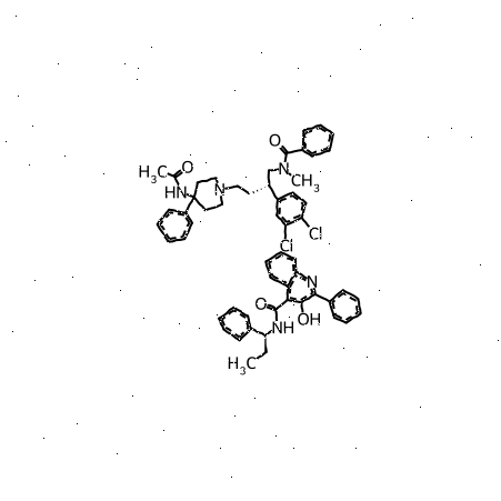 CC(=O)NC1(c2ccccc2)CCN(CC[C@H](CN(C)C(=O)c2ccccc2)c2ccc(Cl)c(Cl)c2)CC1.CC[C@H](NC(=O)c1c(O)c(-c2ccccc2)nc2ccccc12)c1ccccc1